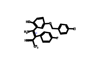 N=C(/C(=C(\N)c1cc(OCc2ccc(Cl)cc2)ccc1O)c1ccc(F)cc1)C(F)(F)F